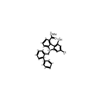 CCc1cc(O)c2c3c(C(=O)OC)cccc3n(Cc3ccccc3-c3ccccc3)c2c1